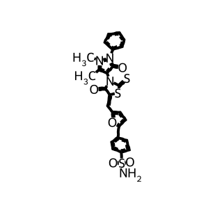 Cc1c(N2C(=O)/C(=C/c3ccc(-c4ccc(S(N)(=O)=O)cc4)o3)SC2=S)c(=O)n(-c2ccccc2)n1C